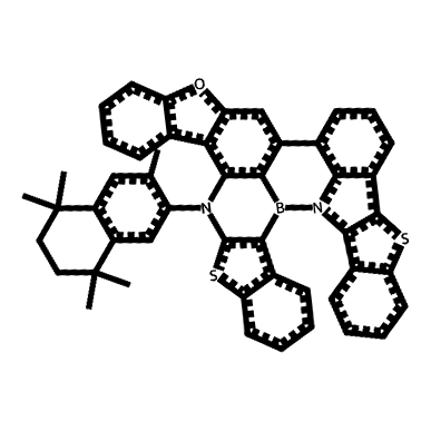 Cc1cc2c(cc1N1c3sc4ccccc4c3B3c4c(cc5oc6ccccc6c5c41)-c1cccc4c5sc6ccccc6c5n3c14)C(C)(C)CCC2(C)C